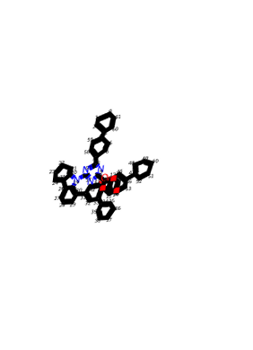 c1ccc(-c2ccc(-c3nc(-c4ccccc4)nc(-n4c5ccccc5c5cccc(-c6cc(-c7ccccc7)c7c(c6)oc6cc(-c8ccccc8)ccc67)c54)n3)cc2)cc1